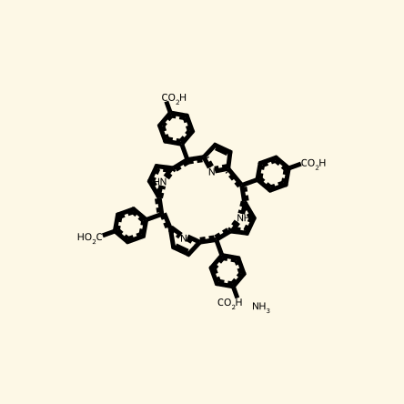 N.O=C(O)c1ccc(-c2c3nc(c(-c4ccc(C(=O)O)cc4)c4ccc([nH]4)c(-c4ccc(C(=O)O)cc4)c4nc(c(-c5ccc(C(=O)O)cc5)c5ccc2[nH]5)C=C4)C=C3)cc1